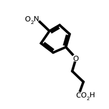 O=C(O)CCOc1ccc([N+](=O)[O-])cc1